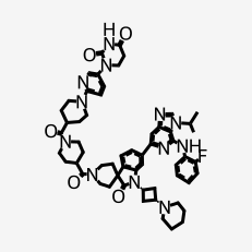 CC(C)n1cnc2cc(-c3ccc4c(c3)N([C@H]3C[C@@H](N5CCCCC5)C3)C(=O)C43CCN(C(=O)C4CCN(C(=O)C5CCN(c6ccc(N7CCC(=O)NC7=O)cn6)CC5)CC4)CC3)nc(Nc3ccccc3F)c21